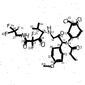 CCC(=O)N(c1ccc(Cl)c(Cl)c1)C(C(=O)CN[C@H](C(=O)C(F)(F)C(=O)NCC(F)(F)F)C(C)C)c1ccc(OC)cc1